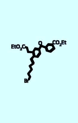 CCOC(=O)CCc1cc(C(=O)c2cccc(C(=O)OCC)c2)ccc1C=CCCCCBr